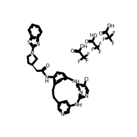 O=C(C[C@H]1CCN(c2nc3ccccc3s2)C1)Nc1ccc2cc1CCc1cncc(c1)Nc1ncc(Cl)c(n1)N2.O=C(O)C(F)(F)F.O=C(O)C(F)(F)F.O=C(O)C(F)(F)F